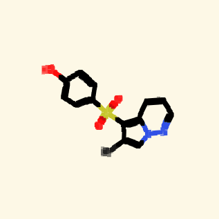 CC(C)c1cn2ncccc2c1S(=O)(=O)c1ccc(O)cc1